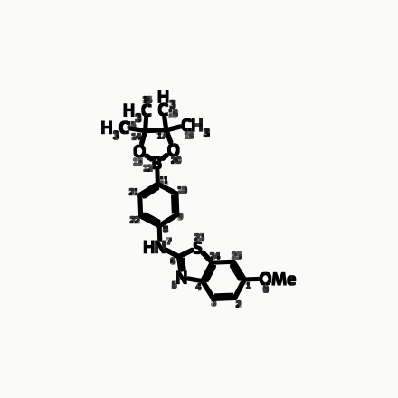 COc1ccc2nc(Nc3ccc(B4OC(C)(C)C(C)(C)O4)cc3)sc2c1